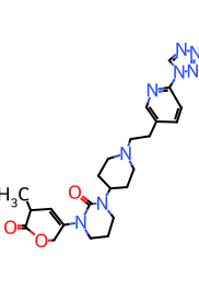 CC1C=C(N2CCCN(C3CCN(CCc4ccc(-n5cnnn5)nc4)CC3)C2=O)COC1=O